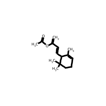 C=C(C=CC1C(C)=CCCC1(C)C)OC(C)=O